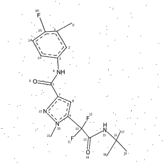 Cc1cc(NC(=O)c2cc(C(F)(F)C(=O)NC(C)(C)C)n(C)n2)ccc1F